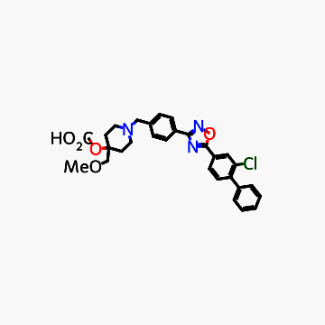 COCC1(OC(=O)O)CCN(Cc2ccc(-c3noc(-c4ccc(-c5ccccc5)c(Cl)c4)n3)cc2)CC1